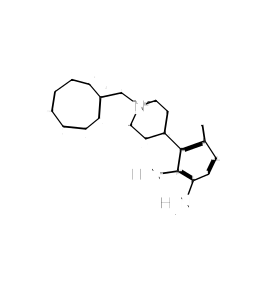 Cc1ccc(N)c(N)c1C1CCN(CC2CCCCCCC2)CC1